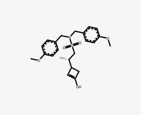 COc1ccc(CN(Cc2ccc(OC)cc2)S(=O)(=O)C[C@@H](C)C2C=C(O)C2)cc1